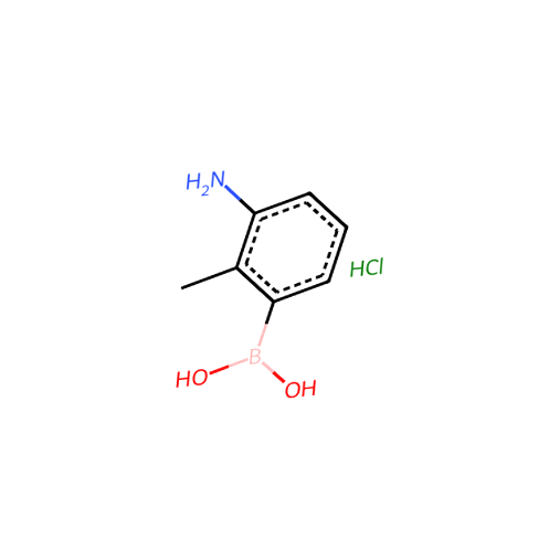 Cc1c(N)cccc1B(O)O.Cl